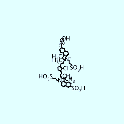 CC1(C)C(=CC=C2CCC(C=CC3=[N+](CCCS(=O)(=O)O)c4ccc5cc(SOOO)ccc5c4C3(C)C)=C2Cl)N(CCCS(=O)(=O)O)c2ccc3cc(S(=O)(=O)O)ccc3c21